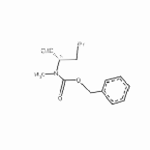 CC(C)C[C@@H](C=O)N(C)C(=O)OCc1ccccc1